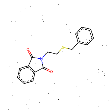 O=C1c2ccccc2C(=O)N1CCSCc1ccccc1